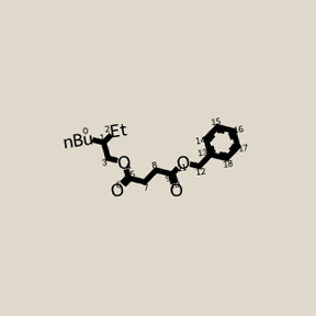 CCCCC(CC)COC(=O)CCC(=O)OCc1ccccc1